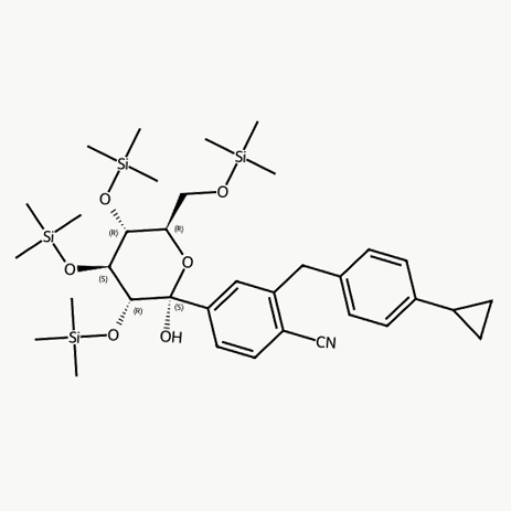 C[Si](C)(C)OC[C@H]1O[C@@](O)(c2ccc(C#N)c(Cc3ccc(C4CC4)cc3)c2)[C@H](O[Si](C)(C)C)[C@@H](O[Si](C)(C)C)[C@@H]1O[Si](C)(C)C